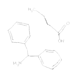 CCCC(=O)O.NC(c1ccccc1)c1ccccc1